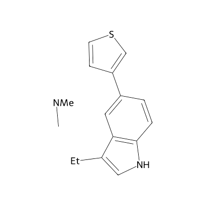 CCc1c[nH]c2ccc(-c3ccsc3)cc12.CNC